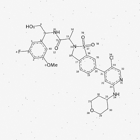 COc1cc(F)cc(C(CO)NC(=O)C(C)N2Cc3ccc(-c4cc(NC5CCOCC5)ncc4Cl)cc3S2(=O)=O)c1